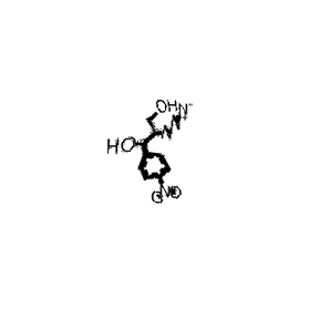 [N-]=[N+]=N[C@H](CO)[C@H](O)c1ccc([N+](=O)[O-])cc1